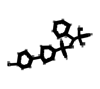 O=P(O)(O)C(NS(=O)(=O)c1ccc(-c2ccc(Cl)cc2)cc1)c1ccccc1